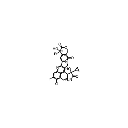 CC[C@@]1(O)C(=O)OCc2c1cc1n(c2=O)Cc2c-1nc1cc(F)c(Cl)c3c1c2C(C(O)(C(N)=O)C1CC1)CC3